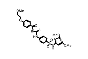 COCCOc1ccc(C(=O)NC(=S)Nc2ccc(S(=O)(=O)Nc3cc(OC)nc(OC)n3)cc2)cc1